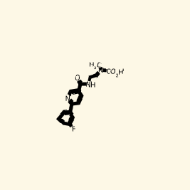 CN(CCNC(=O)c1ccc(-c2cccc(F)c2)nc1)C(=O)O